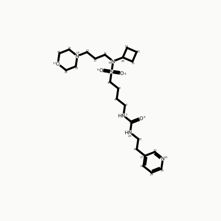 O=C(NCCCCS(=O)(=O)N(CCCN1CCOCC1)C1CCC1)NCCc1cccnc1